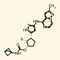 Cc1cc2c(Nc3cc([C@@H]4CC[C@H](OC(=O)NC56CC(C5)C6)[C@@H]4F)[nH]n3)nccn2n1